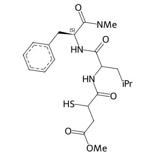 CNC(=O)[C@H](Cc1ccccc1)NC(=O)C(CC(C)C)NC(=O)C(S)CC(=O)OC